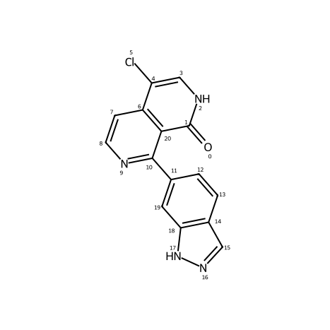 O=c1[nH]cc(Cl)c2ccnc(-c3ccc4cn[nH]c4c3)c12